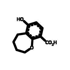 O=C(O)c1ccc(O)c2c1OCCCC2